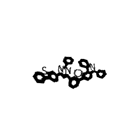 c1ccc(-c2nc(-c3ccc4c(c3)sc3ccccc34)cc(-c3cccc4c3oc3c4ccc4c(-c5ccccc5)nc5ccccc5c43)n2)cc1